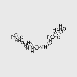 O=C1CC[C@H](N2C(=O)c3cc(F)c(N4CCC(CN5CCN(c6ccc(Nc7ncnc8c7ncn8C7CC(NC(=O)c8cccc(F)n8)C7)cc6)CC5)CC4)cc3C2=O)C(=O)N1